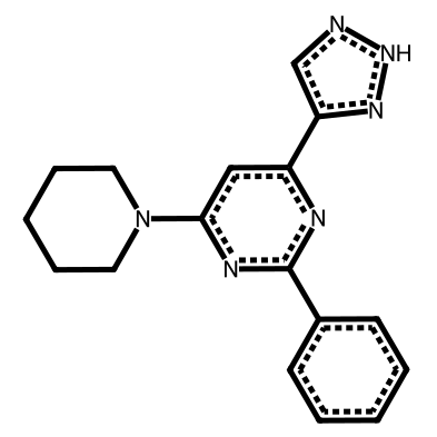 c1ccc(-c2nc(-c3cn[nH]n3)cc(N3CCCCC3)n2)cc1